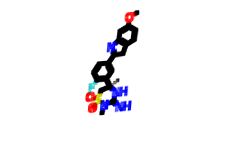 COc1ccc2c(c1)N=C(c1ccc(F)c([C@]3(C)CS(=O)(=O)N(C)C(=N)N3)c1)C2